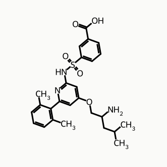 Cc1cccc(C)c1-c1cc(OCC(N)CC(C)C)cc(NS(=O)(=O)c2cccc(C(=O)O)c2)n1